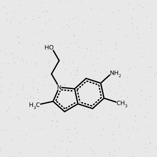 Cc1cc2cc(C)n(CCO)c2cc1N